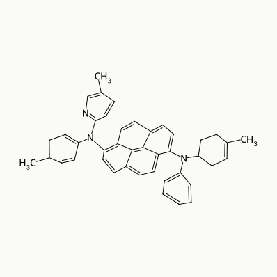 CC1=CCC(N(c2ccccc2)c2ccc3ccc4c(N(C5=CCC(C)C=C5)c5ccc(C)cn5)ccc5ccc2c3c54)CC1